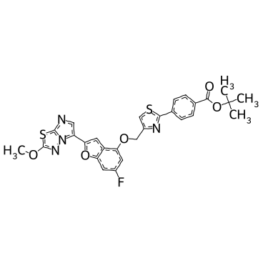 COc1nn2c(-c3cc4c(OCc5csc(-c6ccc(C(=O)OC(C)(C)C)cc6)n5)cc(F)cc4o3)cnc2s1